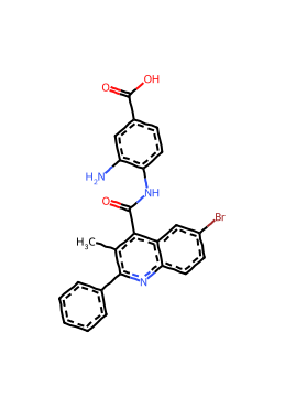 Cc1c(-c2ccccc2)nc2ccc(Br)cc2c1C(=O)Nc1ccc(C(=O)O)cc1N